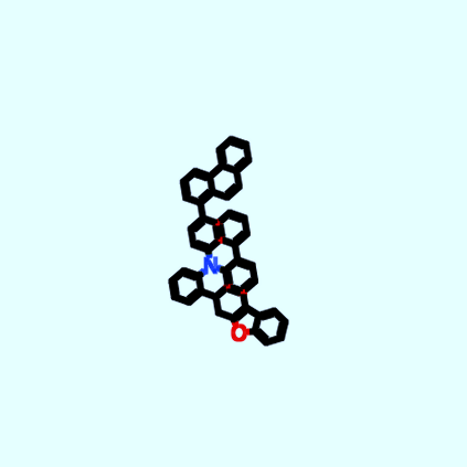 C1=CC(c2ccccc2N(c2ccc(-c3cccc4c3ccc3ccccc34)cc2)c2ccccc2-c2ccccc2)Cc2oc3ccccc3c21